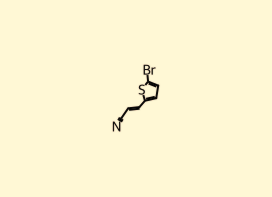 N#CC=Cc1ccc(Br)s1